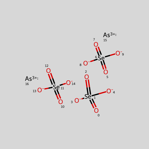 O=[Se](=O)([O-])[O-].O=[Se](=O)([O-])[O-].O=[Se](=O)([O-])[O-].[As+3].[As+3]